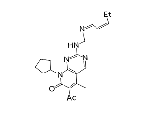 CC/C=C\C=N/CNc1ncc2c(C)c(C(C)=O)c(=O)n(C3CCCC3)c2n1